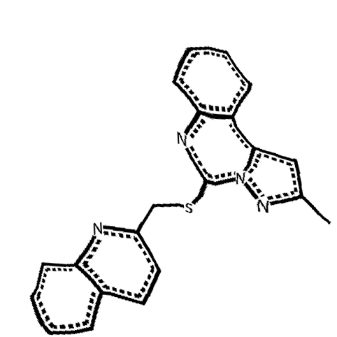 Cc1cc2c3ccccc3nc(SCc3ccc4ccccc4n3)n2n1